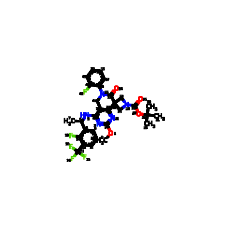 COc1nc(N[C@H](C)c2cccc(C(F)(F)F)c2F)c2c(n1)C1(CN(C(=O)OC(C)(C)C)C1)C(=O)N(c1ccccc1F)C2